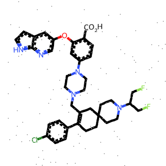 O=C(O)c1ccc(N2CCN(CC3=C(c4ccc(Cl)cc4)CCC4(CCN(C(CF)CF)CC4)C3)CC2)cc1Oc1cnc2[nH]ccc2c1